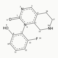 O=c1ncc2c(n1-c1c(O)cccc1F)CNCC2